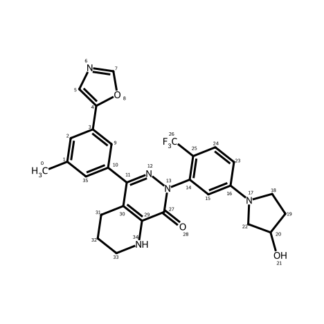 Cc1cc(-c2cnco2)cc(-c2nn(-c3cc(N4CCC(O)C4)ccc3C(F)(F)F)c(=O)c3c2CCCN3)c1